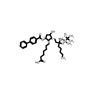 CCCCCC(C)(CC[C@H]1C(O)C[C@H](OC(=O)c2ccc(-c3ccccc3)cc2)[C@@H]1CCCCCCC(=O)O)O[Si](C)(C)C(C)(C)C